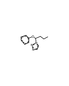 CCCC(Oc1ccccc1)n1ccnn1